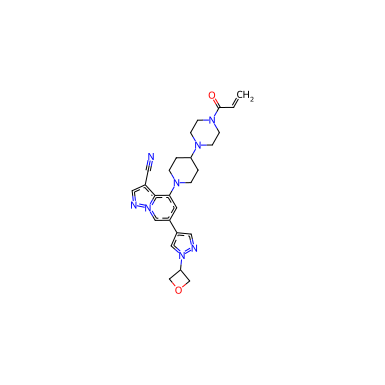 C=CC(=O)N1CCN(C2CCN(c3cc(-c4cnn(C5COC5)c4)cn4ncc(C#N)c34)CC2)CC1